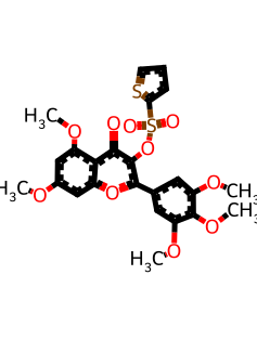 COc1cc(OC)c2c(=O)c(OS(=O)(=O)c3cccs3)c(-c3cc(OC)c(OC)c(OC)c3)oc2c1